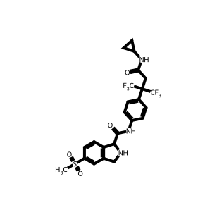 CS(=O)(=O)c1ccc2c(c1)CNC2C(=O)Nc1ccc(C(CC(=O)NC2CC2)(C(F)(F)F)C(F)(F)F)cc1